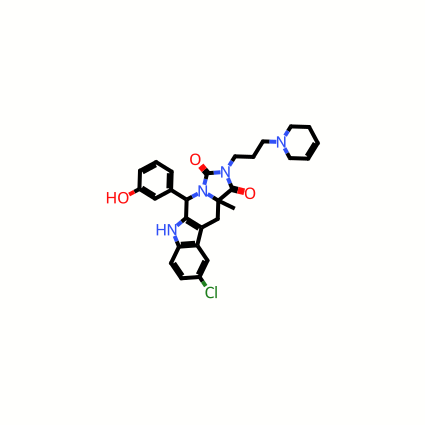 CC12Cc3c([nH]c4ccc(Cl)cc34)C(c3cccc(O)c3)N1C(=O)N(CCCN1CC=CCC1)C2=O